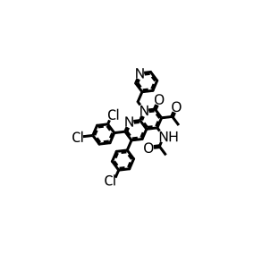 CC(=O)Nc1c(C(C)=O)c(=O)n(Cc2cccnc2)c2nc(-c3ccc(Cl)cc3Cl)c(-c3ccc(Cl)cc3)cc12